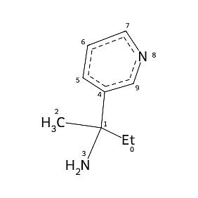 [CH2]CC(C)(N)c1cccnc1